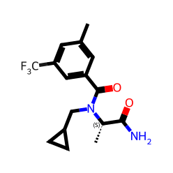 Cc1cc(C(=O)N(CC2CC2)[C@@H](C)C(N)=O)cc(C(F)(F)F)c1